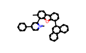 Cc1ccc2c(oc3c(-c4cc5ccccc5c5ccccc45)cccc32)c1-c1cc(-c2ccccc2)cc[n+]1C